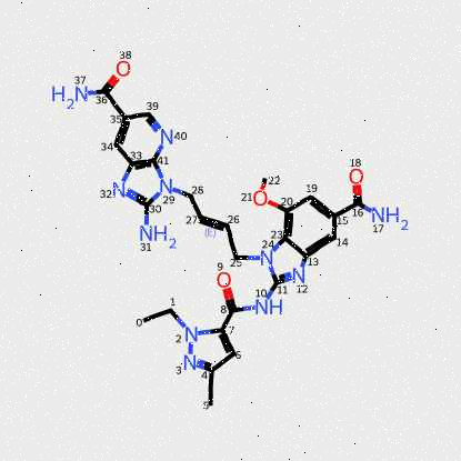 CCn1nc(C)cc1C(=O)Nc1nc2cc(C(N)=O)cc(OC)c2n1C/C=C/Cn1c(N)nc2cc(C(N)=O)cnc21